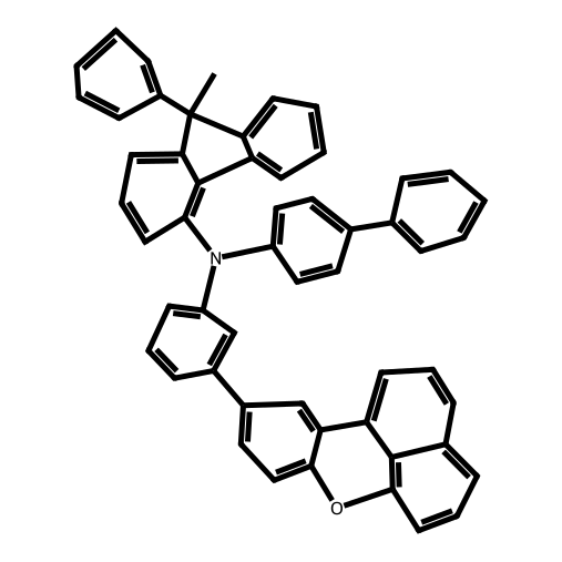 CC1(c2ccccc2)c2ccccc2-c2c(N(c3ccc(-c4ccccc4)cc3)c3cccc(-c4ccc5c(c4)-c4cccc6cccc(c46)O5)c3)cccc21